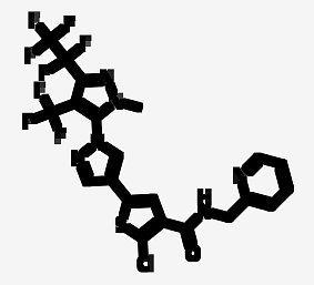 Cn1nc(C(F)(F)C(F)(F)F)c(C(F)(F)F)c1-n1cc(-c2cc(C(=O)NCc3ccccn3)c(Cl)s2)cn1